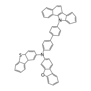 C1=CC2Sc3ccccc3C2C=C1N(c1ccc(-c2ccc(-n3c4ccccc4c4ccc5ccccc5c43)cc2)cc1)c1ccc2c(c1)oc1ccccc12